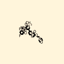 COc1ncc(-c2ccc3ncc(OCCN4CCOCC4)c(=O)n3c2)cc1NS(=O)(=O)c1c(F)cc(F)cc1Cl